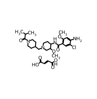 COc1cc(N)c(Cl)cc1C(=O)NC1CCN(CC2CCN(C(=O)C(C)C)CC2)CC1OC.O=C(O)C=CC(=O)O